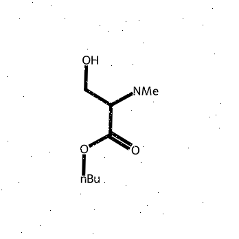 CCCCOC(=O)C(CO)NC